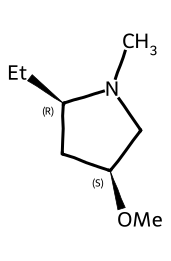 CC[C@@H]1C[C@H](OC)CN1C